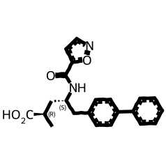 C[C@H](C[C@@H](Cc1ccc(-c2ccccc2)cc1)NC(=O)c1ccno1)C(=O)O